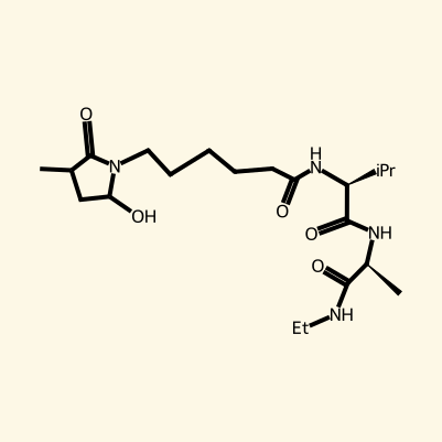 CCNC(=O)[C@H](C)NC(=O)[C@@H](NC(=O)CCCCCN1C(=O)C(C)CC1O)C(C)C